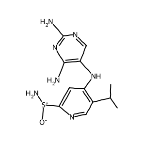 CC(C)c1cnc([S+](N)[O-])cc1Nc1cnc(N)nc1N